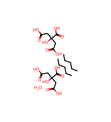 CCCCC.CCCCC.O.O=C(O)CC(O)(CC(=O)O)C(=O)O.O=C(O)CC(O)(CC(=O)O)C(=O)O